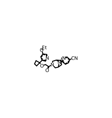 CCOc1cncc(C2(OCC(=O)N3CC4C[C@H](C)C(C3)N4c3ccc(C#N)cn3)CCC2)c1